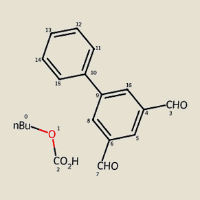 CCCCOC(=O)O.O=Cc1cc(C=O)cc(-c2ccccc2)c1